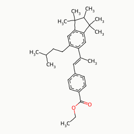 CCOC(=O)c1ccc(C=C(C)c2cc3c(cc2CCC(C)C)C(C)(C)C(C)C3(C)C)cc1